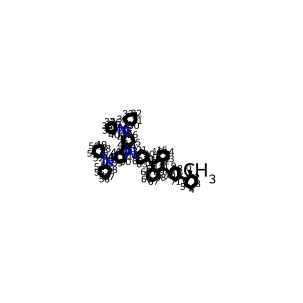 Cc1ccccc1-c1ccc(-c2c3ccccc3c(-c3ccc(-n4c5ccc(N(c6ccccc6)c6ccccc6)cc5c5cc(N(c6ccccc6)c6ccccc6)ccc54)cc3)c3ccccc23)cc1